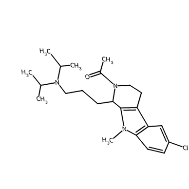 CC(=O)N1CCc2c(n(C)c3ccc(Cl)cc23)C1CCCN(C(C)C)C(C)C